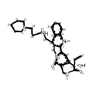 CC[C@@]1(O)C(=O)OCc2c1cc1n(c2=O)Cc2c-1nc1ccccc1c2CNCCN1CCCCC1